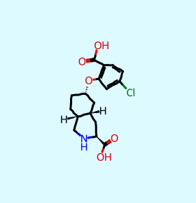 O=C(O)c1ccc(Cl)cc1O[C@H]1CC[C@H]2CN[C@H](C(=O)O)C[C@H]2C1